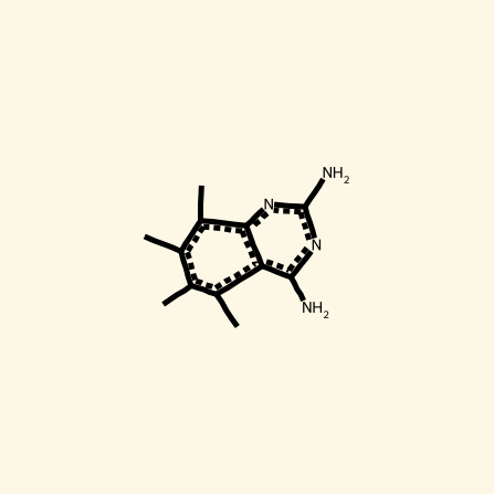 Cc1c(C)c(C)c2c(N)nc(N)nc2c1C